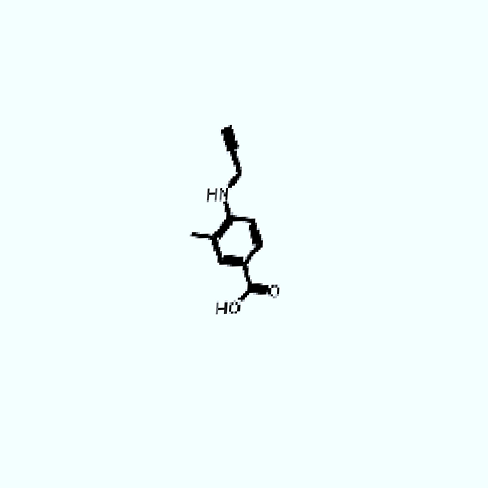 C#CCNc1ccc(C(=O)O)cc1C